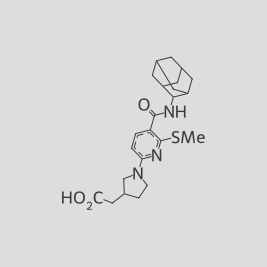 CSc1nc(N2CCC(CC(=O)O)C2)ccc1C(=O)NC1C2CC3CC(C2)CC1C3